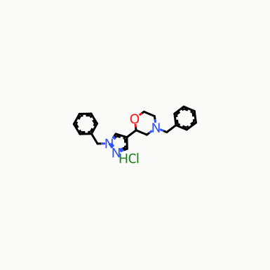 Cl.c1ccc(CN2CCOC(c3cnn(Cc4ccccc4)c3)C2)cc1